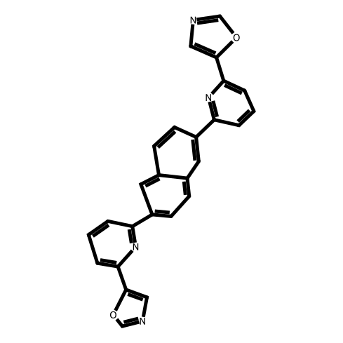 c1cc(-c2ccc3cc(-c4cccc(-c5cnco5)n4)ccc3c2)nc(-c2cnco2)c1